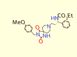 CCOC(=O)N[C@@H](CCN1CCC2(CC1)NC(=O)N(Cc1ccc(OC)cc1)C2=O)c1ccccc1